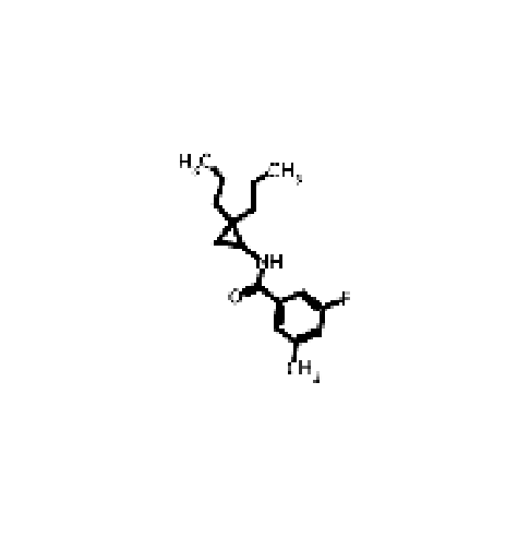 CCCC1(CCC)CC1NC(=O)c1cc(C)cc(F)c1